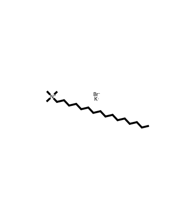 CCCCCCCCCCCCCCCC[N+](C)(C)C.[Br-].[K]